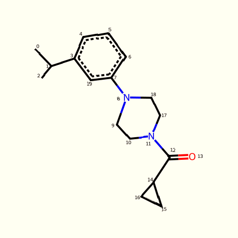 CC(C)c1cccc(N2CCN(C(=O)C3CC3)CC2)c1